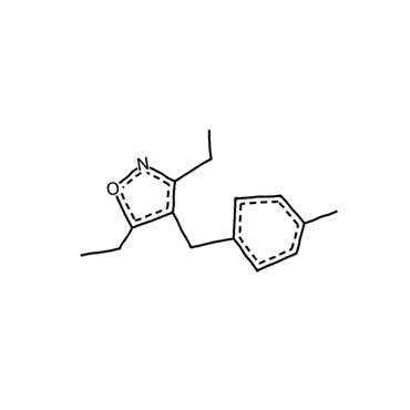 CCc1noc(CC)c1Cc1ccc(C)cc1